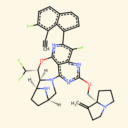 C#Cc1c(F)ccc2cccc(-c3nc4c5c(nc(OC[C@]67CCCN6CCC7=C)nc5c3F)N3C[C@H]5CC[C@H](N5)[C@H]3[C@H](C(F)F)O4)c12